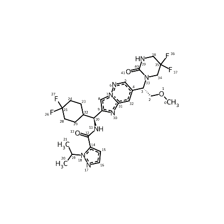 COC[C@H](c1cnn2cc([C@@H](NC(=O)c3ccnn3C(C)C)C3CCC(F)(F)CC3)nc2c1)N1CC(F)(F)CNC1=O